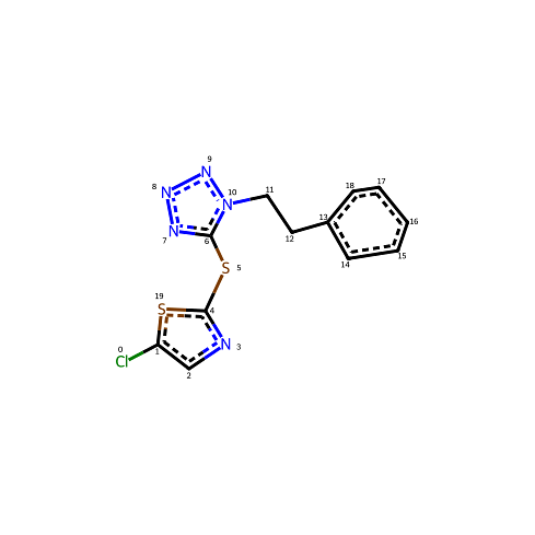 Clc1cnc(Sc2nnnn2CCc2ccccc2)s1